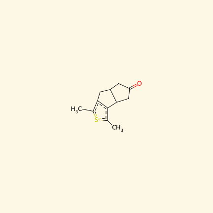 Cc1sc(C)c2c1CC1CC(=O)CC21